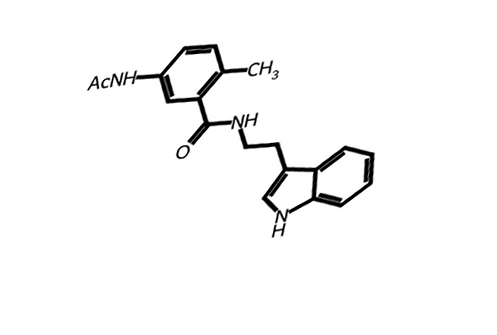 CC(=O)Nc1ccc(C)c(C(=O)NCCc2c[nH]c3ccccc23)c1